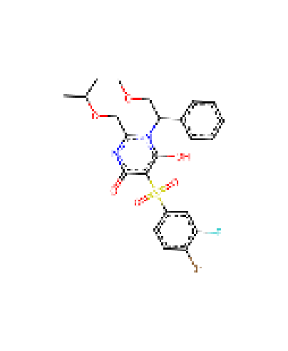 COCC(c1ccccc1)n1c(COC(C)C)nc(=O)c(S(=O)(=O)c2ccc(Br)c(F)c2)c1O